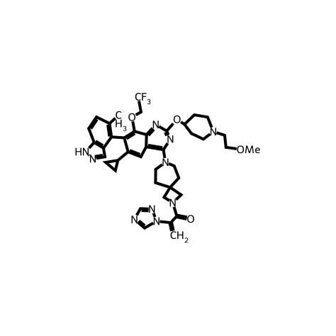 C=C(C(=O)N1CC2(CCN(c3nc(OC4CCN(CCOC)CC4)nc4c(OCC(F)(F)F)c(-c5c(C)ccc6[nH]ncc56)c(C5CC5)cc34)CC2)C1)n1cncn1